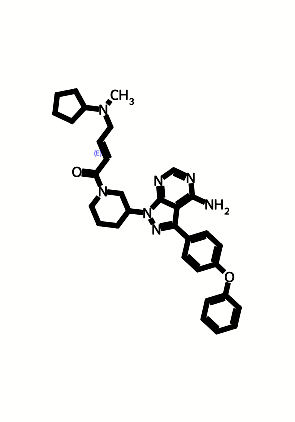 CN(C/C=C/C(=O)N1CCCC(n2nc(-c3ccc(Oc4ccccc4)cc3)c3c(N)ncnc32)C1)C1CCCC1